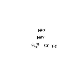 B.[Cr].[Fe].[Mn].[Mo]